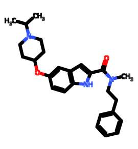 CC(C)N1CCC(Oc2ccc3[nH]c(C(=O)N(C)CCc4ccccc4)cc3c2)CC1